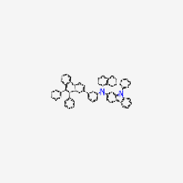 c1ccc(-c2c(-c3ccccc3)c3cc(-c4cccc(N(c5ccc6c7ccccc7n(-c7ccccc7)c6c5)c5cccc6ccccc56)c4)ccc3c3ccccc23)cc1